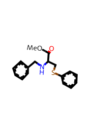 COC(=O)C(CSc1ccccc1)NCc1ccccc1